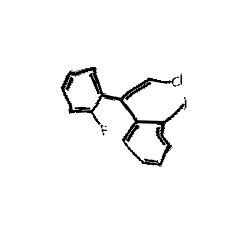 Fc1ccccc1C(=CCl)c1ccccc1I